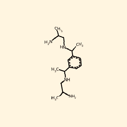 CC(N)CNC(C)c1cccc(C(C)NCC(C)N)c1